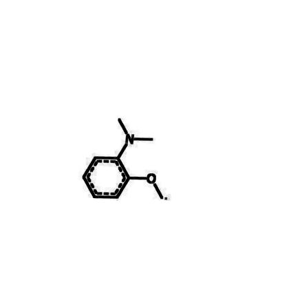 [CH2]Oc1ccccc1N(C)C